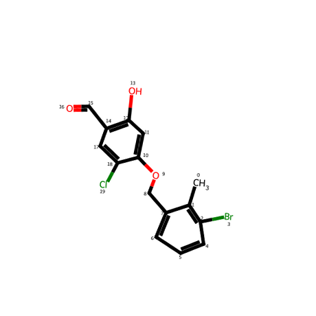 Cc1c(Br)cccc1COc1cc(O)c(C=O)cc1Cl